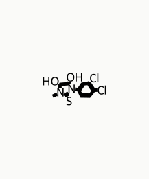 CN1C(=S)N(c2ccc(Cl)c(Cl)c2)C(O)C1O